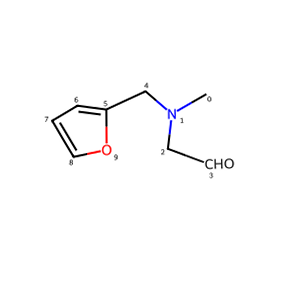 CN(CC=O)Cc1ccco1